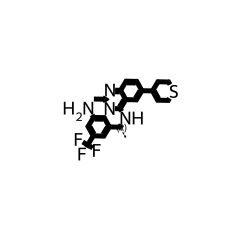 Cc1nc(N[C@H](C)c2cc(N)cc(C(F)(F)F)c2)c2cc(C3=CCSCC3)ccc2n1